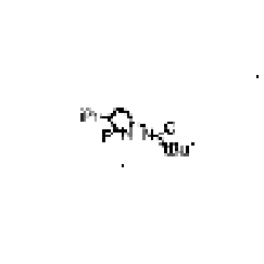 CC(C)c1ccc(/C=N/[S+]([O-])C(C)(C)C)nc1F